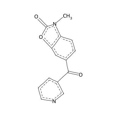 Cn1c(=O)oc2cc(C(=O)c3cccnc3)ccc21